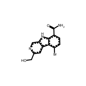 NC(=O)c1ccc(Br)c2c1[nH]c1cnc(CO)cc12